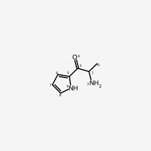 [CH2]C(N)C(=O)c1ccc[nH]1